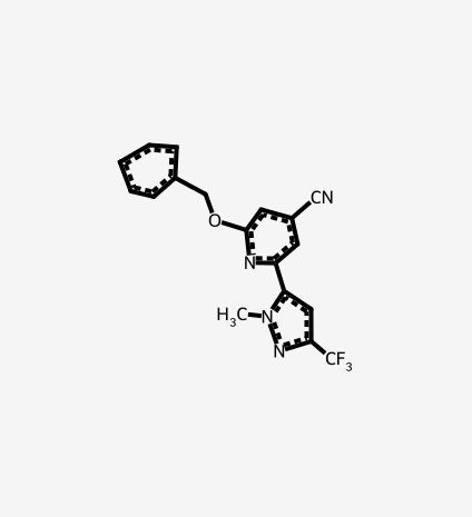 Cn1nc(C(F)(F)F)cc1-c1cc(C#N)cc(OCc2ccccc2)n1